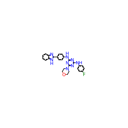 Fc1ccc(Nc2nc(Nc3ccc(-c4nc5ccccc5[nH]4)cc3)nc(N3CCOCC3)n2)cc1